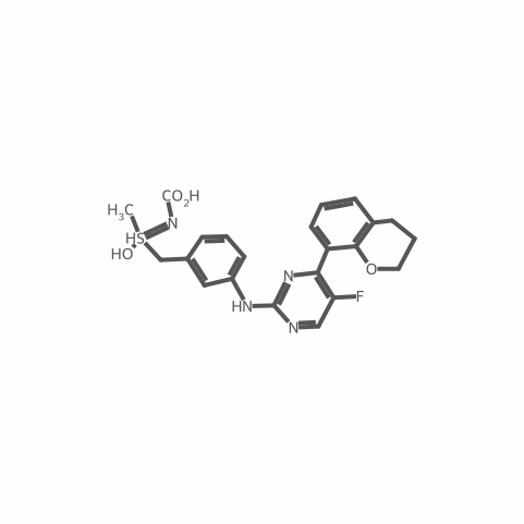 C[SH](O)(Cc1cccc(Nc2ncc(F)c(-c3cccc4c3OCCC4)n2)c1)=NC(=O)O